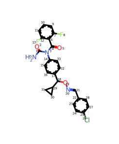 NC(=O)N(C(=O)c1c(F)cccc1F)c1ccc(C(ON=Cc2ccc(Cl)cc2)C2CC2)cc1